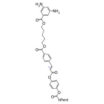 CCCCCC(=O)Oc1ccc(OC(=O)/C=C/c2ccc(C(=O)OCCCCCOC(=O)c3cc(N)cc(N)c3)cc2)cc1